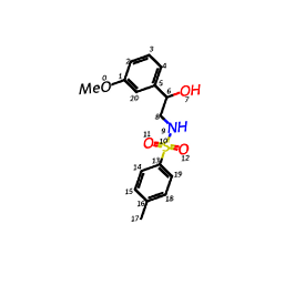 COc1cccc(C(O)CNS(=O)(=O)c2ccc(C)cc2)c1